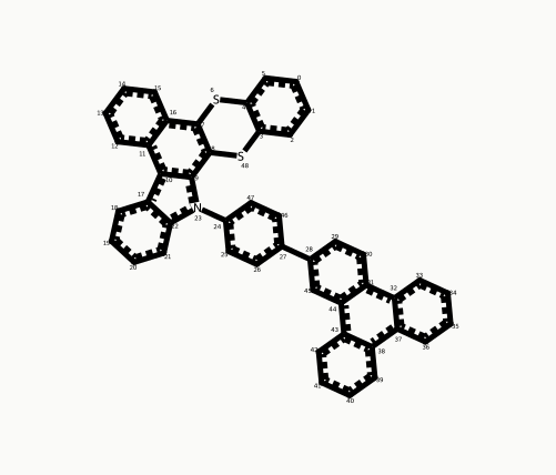 c1ccc2c(c1)Sc1c(c3c(c4ccccc14)c1ccccc1n3-c1ccc(-c3ccc4c5ccccc5c5ccccc5c4c3)cc1)S2